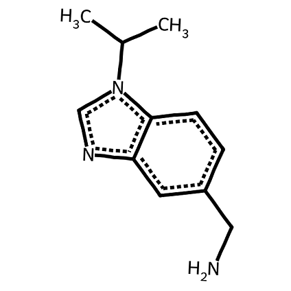 CC(C)n1cnc2cc(CN)ccc21